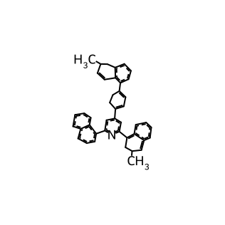 CC1C=c2ccccc2=C(c2cc(C3=CC=C(c4cccc5c4C=CC(C)C5)CC3)cc(-c3cccc4ccccc34)n2)C1